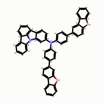 c1ccc2c(c1)oc1cc(-c3ccc(N(c4ccc(-c5ccc6sc7ccccc7c6c5)cc4)c4ccc5c6cccc7c8ccccc8n(c5c4)c76)cc3)ccc12